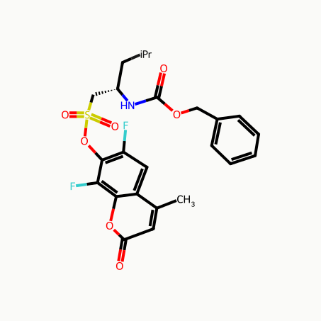 Cc1cc(=O)oc2c(F)c(OS(=O)(=O)C[C@H](CC(C)C)NC(=O)OCc3ccccc3)c(F)cc12